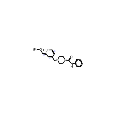 C\C=C/C(=C\C=C\OC(C)C)CN1CCN(C(=O)Nc2ccccc2)CC1